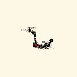 CCCCCCCC(CC(=O)NCc1cn(CCOCCOCCC(=O)N2[C@H](C(=O)N[C@H](C(=O)N(C)[C@@H]([C@@H](C)CC)[C@@H](CC(=O)N3CCC[C@H]3[C@H](OC)[C@@H](C)C(=O)N[C@@H](Cc3ccccc3)C(=O)O)OC)C(C)C)[C@H]3CC[C@H]2[C@H]3C)nn1)C(=O)O